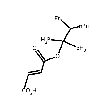 BC(B)(OC(=O)/C=C/C(=O)O)C(CC)CCCC